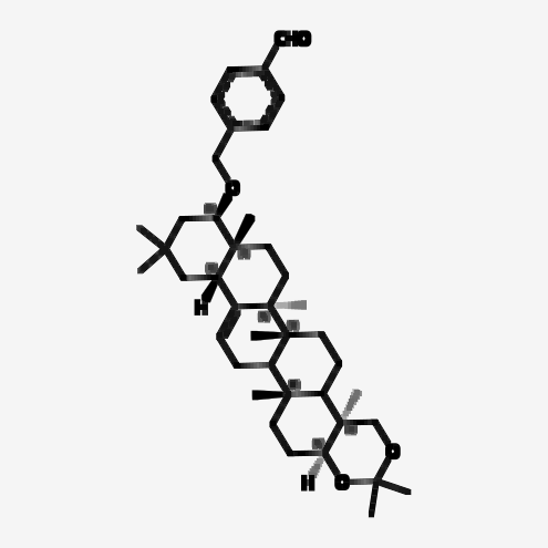 CC1(C)C[C@@H](OCc2ccc(C=O)cc2)[C@]2(C)CC[C@]3(C)C(=CCC4[C@@]5(C)CC[C@@H]6OC(C)(C)OC[C@]6(C)C5CC[C@]43C)[C@@H]2C1